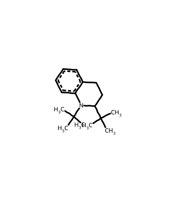 CC(C)(C)C1CCc2ccccc2N1C(C)(C)C